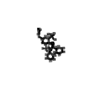 CC(C)(C)c1cc(CC#N)cc(C(C)(C)C)c1OP1Oc2ccccc2-c2ccccc21